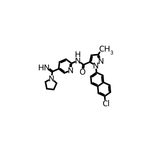 Cc1cc(C(=O)Nc2ccc(C(=N)N3CCCC3)cn2)n(-c2ccc3cc(Cl)ccc3c2)n1